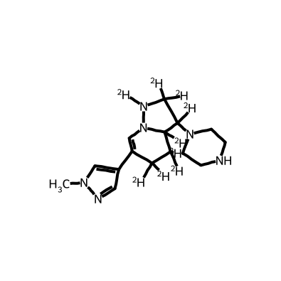 [2H]N1N2C=C(c3cnn(C)c3)C([2H])([2H])C([2H])([2H])C2([2H])C([2H])(N2CCNCC2)C1([2H])[2H]